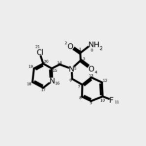 NC(=O)C(=O)N(Cc1ccc(F)cc1)Cc1ncccc1Cl